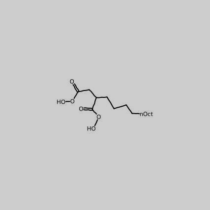 CCCCCCCCCCCCC(CC(=O)OO)C(=O)OO